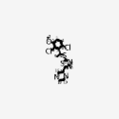 COc1ccc(Cl)c(C(C)Sc2nnc(-c3cnccn3)s2)c1Cl